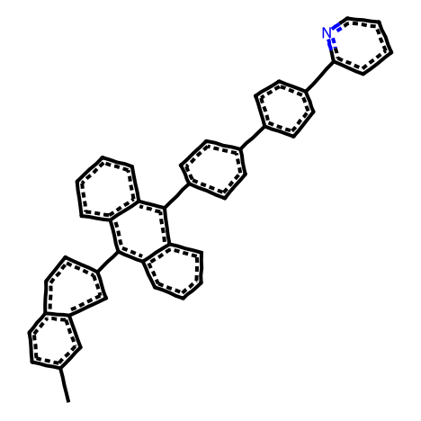 Cc1ccc2ccc(-c3c4ccccc4c(-c4ccc(-c5ccc(-c6ccccn6)cc5)cc4)c4ccccc34)cc2c1